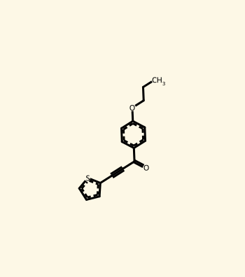 CCCOc1ccc(C(=O)C#Cc2cccs2)cc1